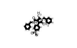 Cc1c(C(=O)NCc2ccccc2)c(-c2ccc([N+](=O)[O-])cc2)c(C)n1Cc1ccccc1